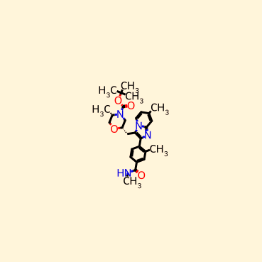 CNC(=O)c1ccc(-c2nc3cc(C)ccn3c2C[C@H]2CN(C(=O)OC(C)(C)C)[C@@H](C)CO2)c(C)c1